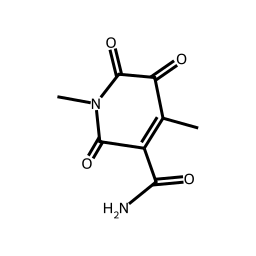 CC1=C(C(N)=O)C(=O)N(C)C(=O)C1=O